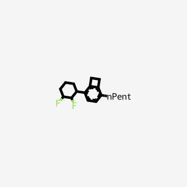 CCCCCc1ccc(C2CCCC(F)C2F)c2c1CC2